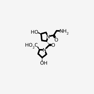 NCC(=O)N1C[C@H](O)C[C@H]1C(=O)N1C[C@H](O)C[C@H]1C(=O)O